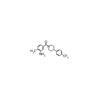 Cc1ccc(C(=O)N2CCC(c3ccc(C(F)(F)F)cc3)CC2)cc1N